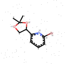 CC1(C)OCC(c2cccc(Br)n2)O1